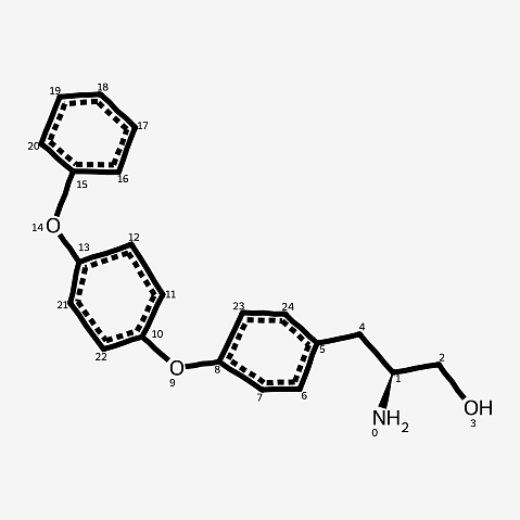 N[C@H](CO)Cc1ccc(Oc2ccc(Oc3ccccc3)cc2)cc1